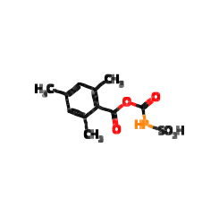 Cc1cc(C)c(C(=O)OC(=O)PS(=O)(=O)O)c(C)c1